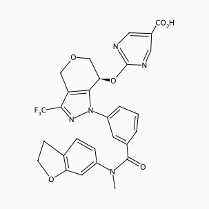 CN(C(=O)c1cccc(-n2nc(C(F)(F)F)c3c2[C@H](Oc2ncc(C(=O)O)cn2)COC3)c1)c1ccc2c(c1)OCC2